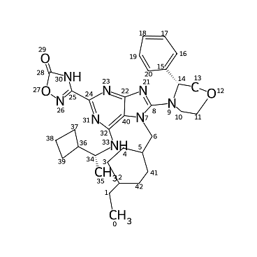 CCC1CCC(Cn2c(N3CCOC[C@H]3c3ccccc3)nc3nc(-c4noc(=O)[nH]4)nc(N[C@H](C)C4CCC4)c32)CC1